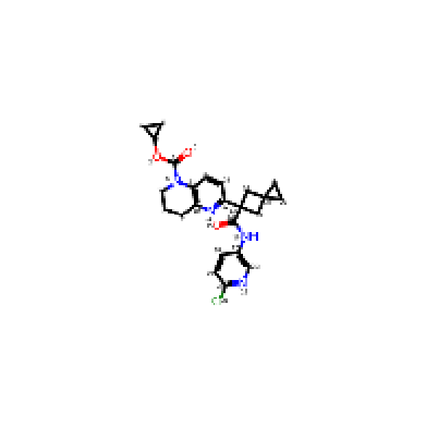 O=C(OC1CC1)N1CCCc2nc(C3(C(=O)Nc4ccc(Cl)nc4)CC4(CC4)C3)ccc21